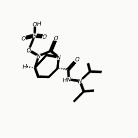 CC(C)N(NC(=O)[C@@H]1CC[C@@H]2CN1C(=O)N2OS(=O)(=O)O)C(C)C